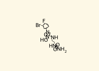 NS(=O)(=O)NCCNC1=CN(c2ccc(F)c(Br)c2)ON1O